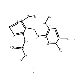 CCC(=O)Oc1cccc(CC)c1COc1cc(F)c(C)cc1CC